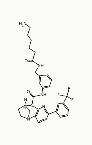 NCCCCCC(=O)NCc1cccc(NC(=O)N2c3nc(-c4cccc(C(F)(F)F)c4)ccc3N3CC[C@H]2C3)c1